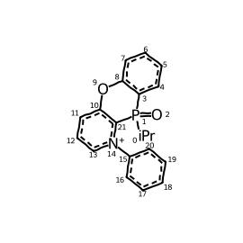 CC(C)P1(=O)c2ccccc2Oc2ccc[n+](-c3ccccc3)c21